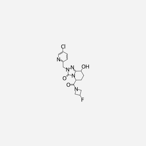 O=C(C1CCC(O)c2nn(Cc3ccc(Cl)cn3)c(=O)n21)N1CC(F)C1